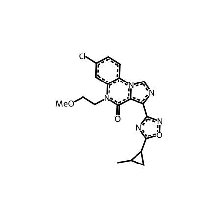 COCCn1c(=O)c2c(-c3noc(C4CC4C)n3)ncn2c2ccc(Cl)cc21